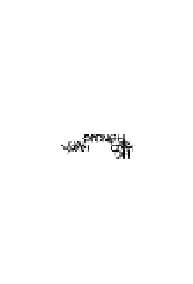 CCCC(C)CC(=O)ONC(=O)c1cccc(N2CCC(NC[C@H](O)c3ccc(O)c(NS(C)(=O)=O)c3)CC2)c1